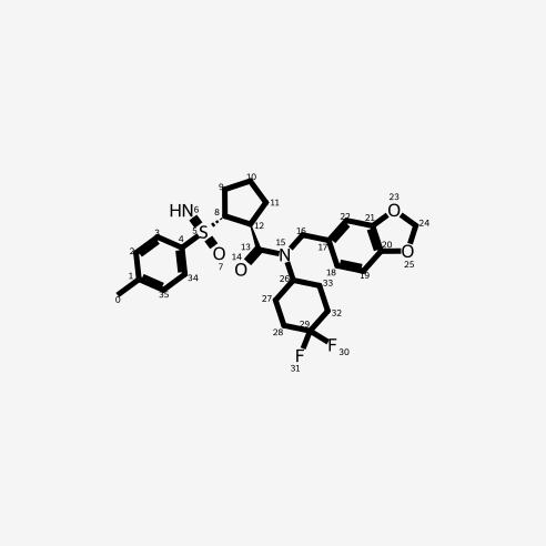 Cc1ccc(S(=N)(=O)[C@@H]2CCC[C@H]2C(=O)N(Cc2ccc3c(c2)OCO3)C2CCC(F)(F)CC2)cc1